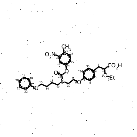 CCOC(Cc1ccc(OCCN(CCCCOc2ccccc2)C(=O)Oc2ccc(C)c([N+](=O)[O-])c2)cc1)C(=O)O